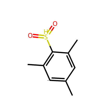 Cc1[c]c(C)c([SH](=O)=O)c(C)c1